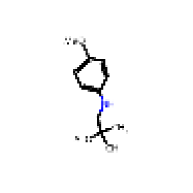 COc1ccc(NCC(C)(C)OC(C)=O)cc1